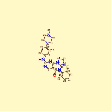 Cc1cc(Nc2ncc3c(n2)N2CCN=C2N(c2c(C)cccc2F)C3=O)ccc1N1CCN(C)CC1